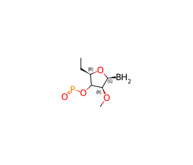 B[C@@H]1O[C@H](CC)C(OP=O)[C@@H]1OC